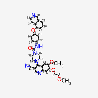 COCCOc1cc2ncc(C#N)c(N3CCN(C(=O)Nc4ccc(Oc5cccc6cnccc56)cc4)CC3)c2cc1OC